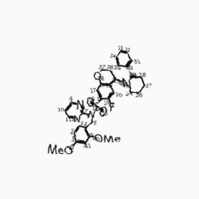 COc1ccc(CN(c2ncccn2)S(=O)(=O)c2cc3c(cc2F)C(N2CCCC[C@H]2c2ccccc2)CCO3)c(OC)c1